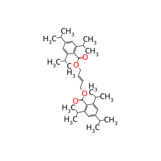 CC(C)c1cc(C(C)C)c(C(=O)OCC=CCOC(=O)c2c(C(C)C)cc(C(C)C)cc2C(C)C)c(C(C)C)c1